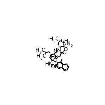 CC(C)C[C@@H](CC(=O)NO)C(=O)N[C@@H](Cc1cccc2ccccc12)C(=O)N[C@@H](CC(C)C)C(N)=O